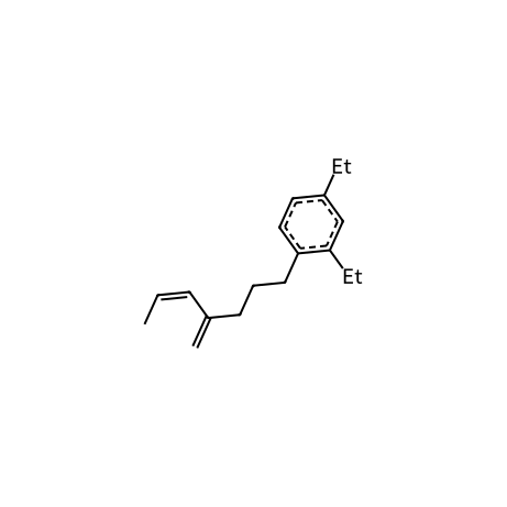 C=C(/C=C\C)CCCc1ccc(CC)cc1CC